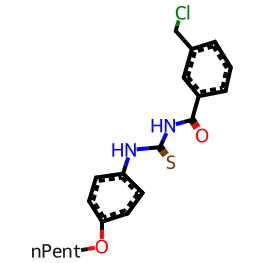 CCCCCOc1ccc(NC(=S)NC(=O)c2cccc(CCl)c2)cc1